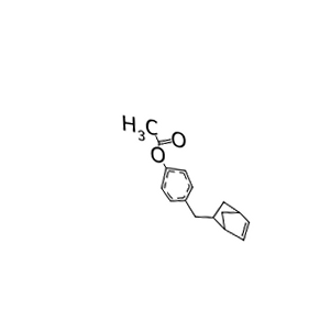 CC(=O)Oc1ccc(CC2CC3C=CC2C3)cc1